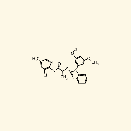 COc1cc(OC)cc(-n2c(SC(C)C(=O)Nc3ncc(C)cc3Cl)nc3ccccc32)c1